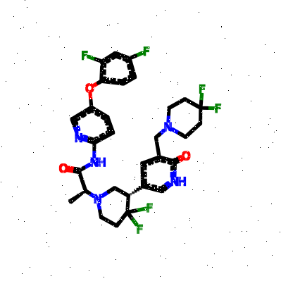 C[C@@H](C(=O)Nc1ccc(Oc2ccc(F)cc2F)cn1)N1CCC(F)(F)[C@@H](c2c[nH]c(=O)c(CN3CCC(F)(F)CC3)c2)C1